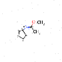 CO/C(C)=N/C1CCCC1